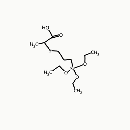 CCO[Si](CCCSC(C)C(=O)O)(OCC)OCC